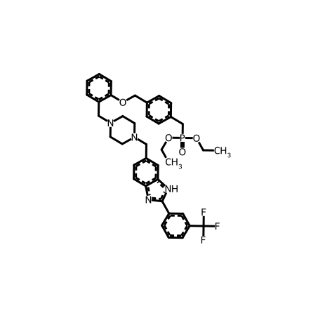 CCOP(=O)(Cc1ccc(COc2ccccc2CN2CCN(Cc3ccc4nc(-c5cccc(C(F)(F)F)c5)[nH]c4c3)CC2)cc1)OCC